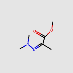 COC(=O)/C(C)=N\N(C)C